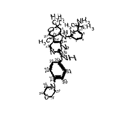 CC1(C)C[C@H]2N(c3cccc(C(C)(C)N)n3)c3nc(Nc4ccc(N5CCOCC5)cc4)ncc3[C@@]2(C)CO1